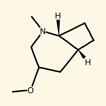 COC1C[C@H]2CC[C@H]2N(C)C1